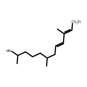 CCCCC(C)CCCC(C)C/C=C/C(C)=C/C(=O)OCC